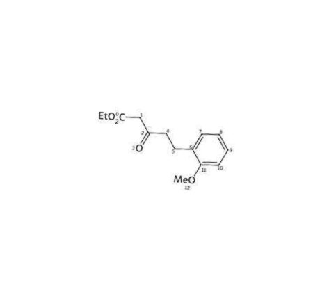 CCOC(=O)CC(=O)CCc1ccccc1OC